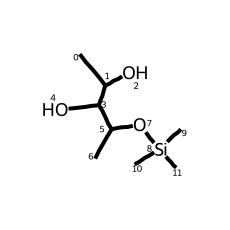 CC(O)C(O)C(C)O[Si](C)(C)C